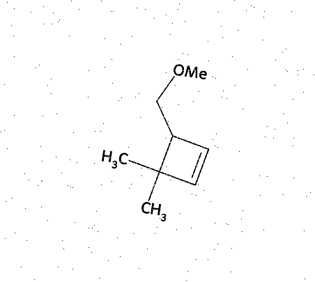 COCC1C=CC1(C)C